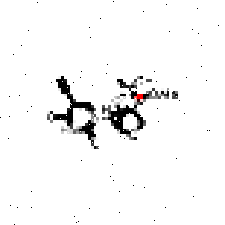 C#Cc1cn([C@@H]2O[C@]3(COC)COC2[C@@H]3OP(C)(=O)O)c(=O)[nH]c1=O